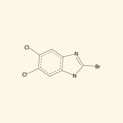 Clc1cc2c(cc1Cl)N=C(Br)[N]2